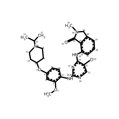 COc1cc(OC2CCN(C(C)C)CC2)ccc1Nc1ncc(Cl)c(Nc2cccc3c2C(=O)N(C)C3)n1